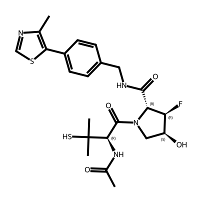 CC(=O)N[C@H](C(=O)N1C[C@H](O)[C@H](F)[C@H]1C(=O)NCc1ccc(-c2scnc2C)cc1)C(C)(C)S